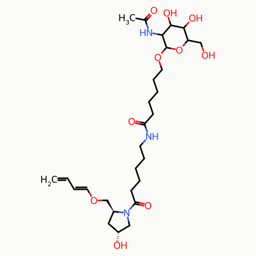 C=C/C=C/OC[C@@H]1C[C@@H](O)CN1C(=O)CCCCCNC(=O)CCCCCOC1OC(CO)C(O)C(O)C1NC(C)=O